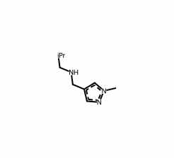 CC(C)CNCc1cnn(C)c1